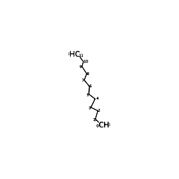 [CH][CH]CCCCCCCCC[CH]